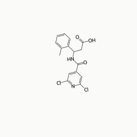 Cc1ccccc1C(CC(=O)O)NC(=O)c1cc(Cl)nc(Cl)c1